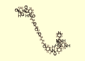 C[C@@H](NC(=O)c1cccc(NC2(c3nnc(-c4ccncc4)[nH]3)CCNCC2)c1)c1ccc(OCCCCCCOCCOCCOCCCC(=O)Nc2cccc3c2CN(C2CCC(=O)NC2=O)C3=O)cc1